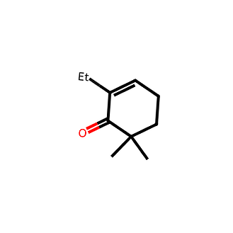 CCC1=CCCC(C)(C)C1=O